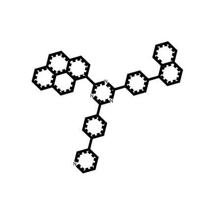 c1cncc(-c2ccc(-c3nc(-c4ccc(-c5cccc6ccccc56)cc4)nc(-c4ccc5ccc6cccc7ccc4c5c67)n3)cc2)c1